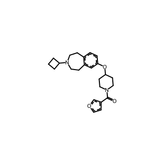 O=C(c1ccoc1)N1CCC(Oc2ccc3c(c2)CCN(C2CCC2)CC3)CC1